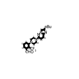 CCCCc1cn2nc(N3CCN(c4cccc(C=O)c4C(F)(F)F)CC3)ccc2n1